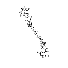 CN1Cc2c(Cl)cc(Cl)cc2C(c2ccc(S(=O)(=O)NCCOCCCOCCOCCNS(=O)(=O)c3ccc(C4CN(C)Cc5c(Cl)cc(Cl)cc54)cc3)cc2)C1